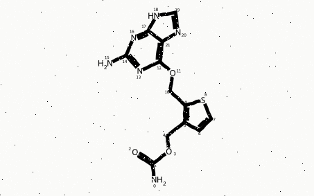 NC(=O)OCc1ccsc1COc1nc(N)nc2[nH]cnc12